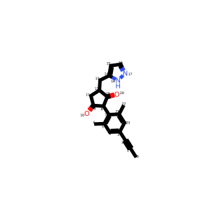 CC#Cc1cc(C)c(C2C(=O)CC(Cc3ccn[nH]3)C2=O)c(C)c1